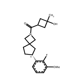 COc1cccc([C@@H]2CCC3(C2)CN(C(=O)C2CC(C)(O)C2)C3)c1F